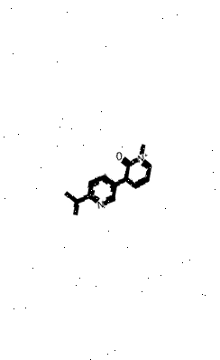 CC(C)c1ccc(C2C=CC=[N+](C)C2=O)cn1